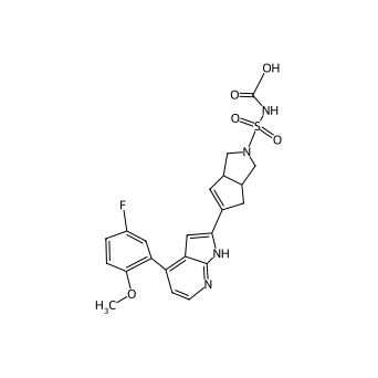 COc1ccc(F)cc1-c1ccnc2[nH]c(C3=CC4CN(S(=O)(=O)NC(=O)O)CC4C3)cc12